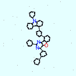 c1ccc(-c2cccc(-c3nc(-c4ccccc4)nc4c3oc3cccc(-c5cccc(-c6cccc7c6c6ccccc6n7-c6ccccc6)c5)c34)c2)cc1